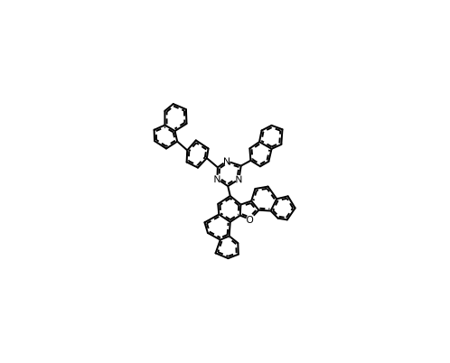 c1ccc2cc(-c3nc(-c4ccc(-c5cccc6ccccc56)cc4)nc(-c4cc5ccc6ccccc6c5c5oc6c7ccccc7ccc6c45)n3)ccc2c1